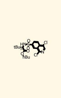 CCCCOC(=O)[C@H](NS(=O)(=O)c1ccc2c(Cl)cnc(Cl)c2c1)C(C)(C)C